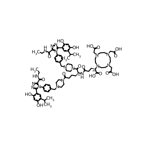 CCNC(=O)c1nnc(-c2cc(C(C)C)c(O)cc2O)n1-c1ccc(CN2CCN(C(=O)CCC[C@H](NC(=O)CC[C@H](C(=O)O)N3CCN(CC(=O)O)CCN(CC(=O)O)CCN(CC(=O)O)CC3)C(=O)N3CCN(Cc4ccc(-n5c(C(=O)NCC)nnc5-c5cc(C(C)C)c(O)cc5O)cc4)CC3)CC2)cc1